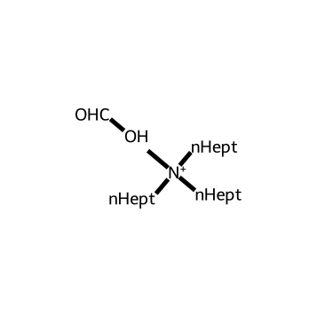 CCCCCCC[N+](C)(CCCCCCC)CCCCCCC.O=CO